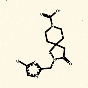 O=C(O)N1CCC2(CC1)CC(=O)N(Cc1ncc(Cl)s1)C2